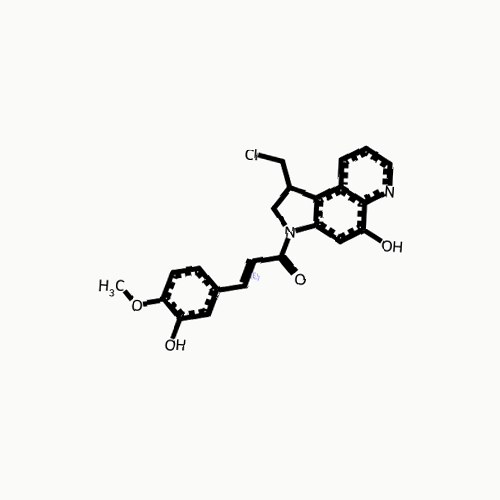 COc1ccc(/C=C/C(=O)N2CC(CCl)c3c2cc(O)c2ncccc32)cc1O